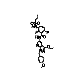 CCCS(=O)(=O)Nc1ccc(F)c(C(=O)Nc2cnc3c(c2)c(OCC)nn3Cc2ccc(OC)cc2)c1F